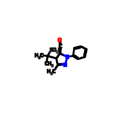 CC1=NN(c2ccccc2)C(=C=O)C1C(C)(C)S(=O)(=O)O